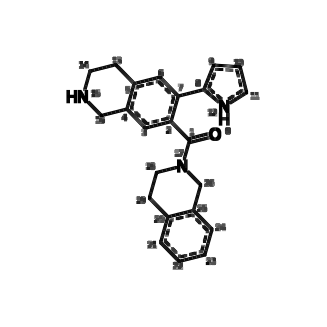 O=C(c1cc2c(cc1-c1ccc[nH]1)CCNC2)N1CCc2ccccc2C1